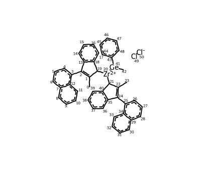 CC1=C(c2cccc3ccccc23)c2ccccc2[CH]1[Zr+2]([CH]1C(C)=C(c2cccc3ccccc23)c2ccccc21)=[Ge]([CH3])[c]1ccccc1.[Cl-].[Cl-]